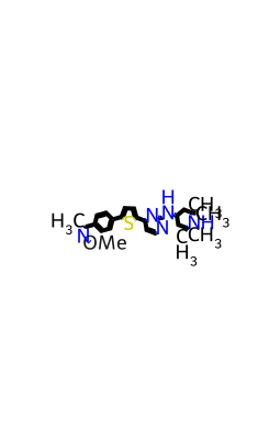 CO/N=C(/C)c1ccc(-c2ccc(-c3ccnc(NC4CC(C)(C)NC(C)(C)C4)n3)s2)cc1